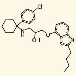 CCCCc1nc2cccc(OCC(O)CNC3(c4ccc(Cl)cc4)CCCCC3)c2s1